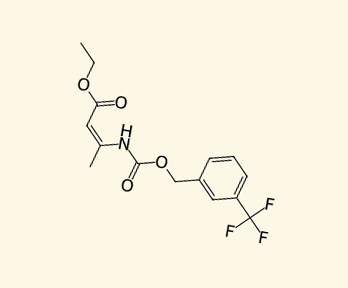 CCOC(=O)/C=C(/C)NC(=O)OCc1cccc(C(F)(F)F)c1